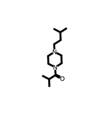 CC(C)CCN1CCN(C(=O)C(C)C)CC1